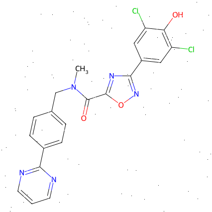 CN(Cc1ccc(-c2ncccn2)cc1)C(=O)c1nc(-c2cc(Cl)c(O)c(Cl)c2)no1